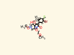 COCCON1C(=O)C(c2cc(Br)c(F)cc2C)=C(O)C12CCN(OC)CC2